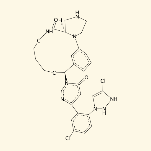 O=C1NCCCCC[C@H](n2cnc(-c3cc(Cl)ccc3N3C=C(Cl)NN3)cc2=O)c2cccc(c2)N2CCNC[C@H]12